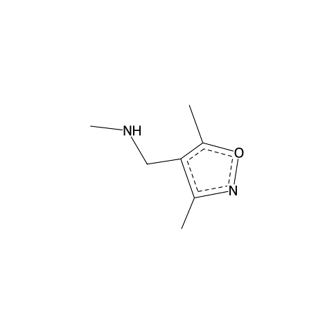 CNCc1c(C)noc1C